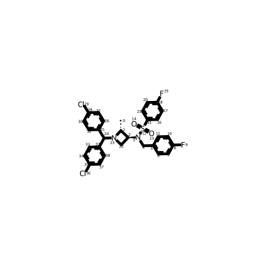 C[C@@H]1[C@@H](N(Cc2ccc(F)cc2)S(=O)(=O)c2ccc(F)cc2)CN1C(c1ccc(Cl)cc1)c1ccc(Cl)cc1